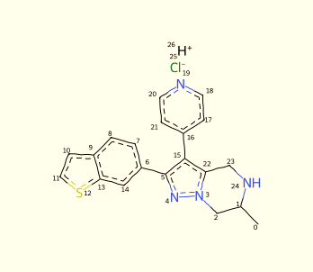 CC1Cn2nc(-c3ccc4ccsc4c3)c(-c3ccncc3)c2CN1.[Cl-].[H+]